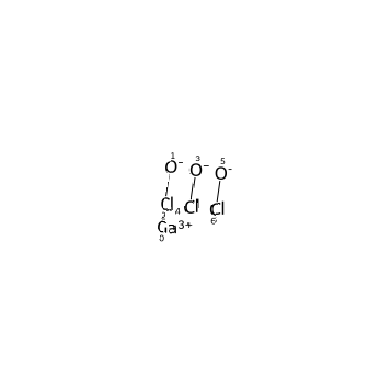 [Ga+3].[O-]Cl.[O-]Cl.[O-]Cl